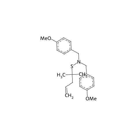 C=CCC(C)(C)SN(Cc1ccc(OC)cc1)Cc1ccc(OC)cc1